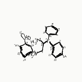 NCC(N)P(c1ccccc1)c1ccccc1.O=Cc1ccccc1